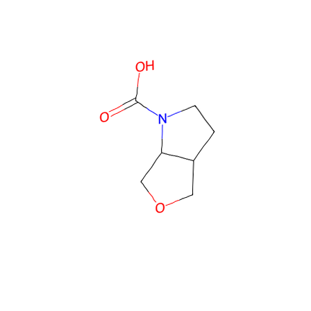 O=C(O)N1CCC2COCC21